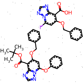 CC(C)(C)OC(=O)c1c(OCc2ccccc2)cc(Oc2ccccc2)n2ncnc12.O=C(O)c1c(OCc2ccccc2)cc(I)n2ncnc12